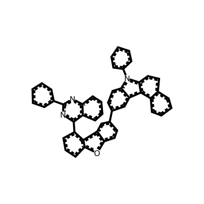 c1ccc(-c2nc(-c3cccc4oc5ccc(-c6ccc7c(c6)c6c8ccccc8ccc6n7-c6ccccc6)cc5c34)c3ccccc3n2)cc1